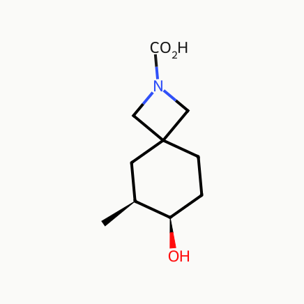 C[C@H]1CC2(CC[C@H]1O)CN(C(=O)O)C2